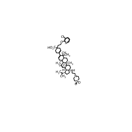 C=C(C)[C@@H]1CC[C@]2(NCCN3CCS(=O)(=O)CC3)CC[C@]3(C)[C@H](CCC4[C@@]5(C)CC=C(C6=CCC(CCOc7ncccc7Cl)(C(=O)O)CC6)C(C)(C)C5CC[C@]43C)C12